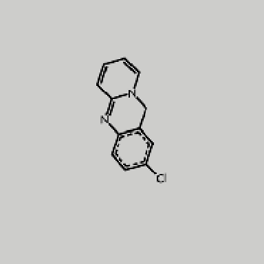 Clc1ccc2c(c1)CN1C=CC=CC1=N2